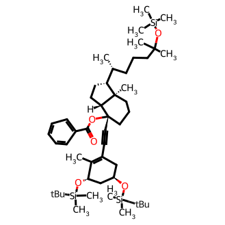 CC1=C(C#C[C@]2(OC(=O)c3ccccc3)CCC[C@]3(C)[C@@H]([C@H](C)CCCC(C)(C)O[Si](C)(C)C)CC[C@H]32)C[C@@H](O[Si](C)(C)C(C)(C)C)C[C@@H]1O[Si](C)(C)C(C)(C)C